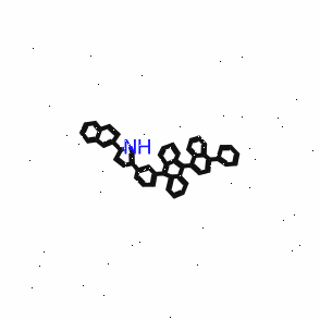 C1=CC(c2ccc3ccccc3c2)NC=C1c1cccc(-c2c3ccccc3c(-c3ccc(-c4ccccc4)c4ccccc34)c3ccccc23)c1